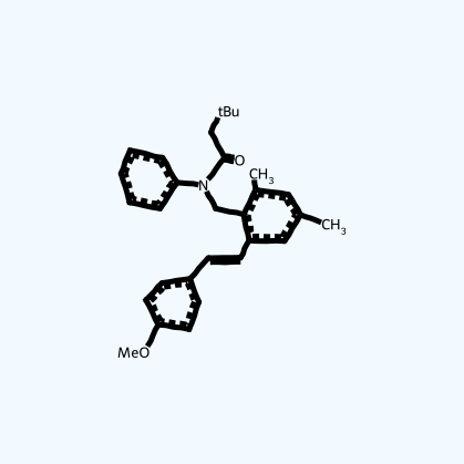 COc1ccc(C=Cc2cc(C)cc(C)c2CN(C(=O)CC(C)(C)C)c2ccccc2)cc1